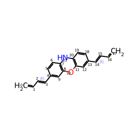 C=C/C=C/c1ccc2c(c1)Oc1cc(/C=C/C=C)ccc1N2